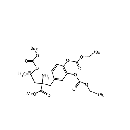 CC[C@H](C)OC(=O)O[C@@H](C)CC(N)(Cc1ccc(OC(=O)OCC(C)(C)C)c(OC(=O)OCC(C)(C)C)c1)C(=O)OC